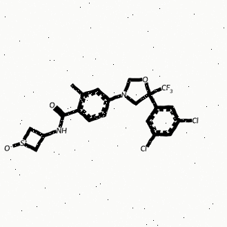 Cc1cc(N2COC(c3cc(Cl)cc(Cl)c3)(C(F)(F)F)C2)ccc1C(=O)NC1C[S+]([O-])C1